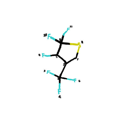 FC1C(C(F)(F)F)CSC1(F)F